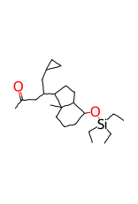 CC[Si](CC)(CC)OC1CCCC2(C)C(C(CC(C)=O)CC3CC3)CCC12